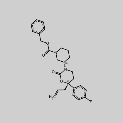 C=CC[C@]1(c2ccc(F)cc2)CCN([C@H]2CCCN(C(=O)OCc3ccccc3)C2)C(=O)O1